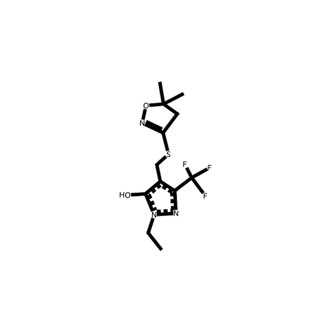 CCn1nc(C(F)(F)F)c(CSC2=NOC(C)(C)C2)c1O